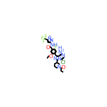 CCOc1cc(C(=O)Nc2cc(C(F)(F)F)n(C)n2)c(F)cc1-c1nc(C2CCCN(C(=O)CC)C2)n2c(Cl)cnc(N)c12